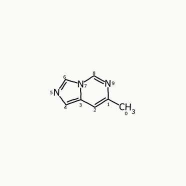 Cc1cc2cncn2cn1